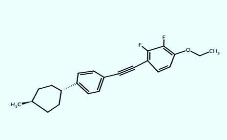 CCOc1ccc(C#Cc2ccc([C@H]3CC[C@H](C)CC3)cc2)c(F)c1F